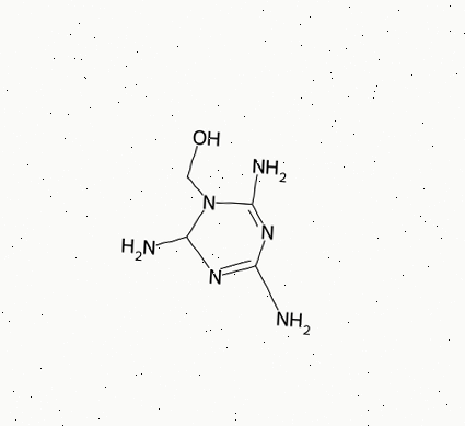 NC1=NC(N)N(CO)C(N)=N1